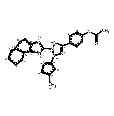 CC(=O)Nc1ccc(C2=NN(c3cc(C)cs3)N(c3nc4c(ccc5ccccc54)s3)N2)cc1